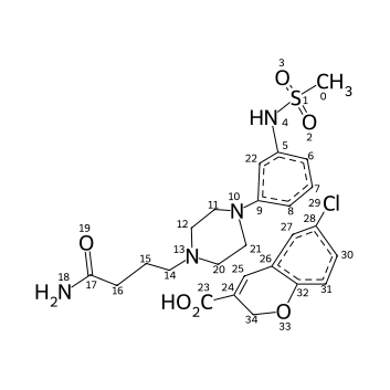 CS(=O)(=O)Nc1cccc(N2CCN(CCCC(N)=O)CC2)c1.O=C(O)C1=Cc2cc(Cl)ccc2OC1